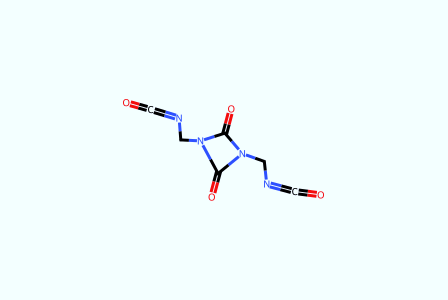 O=C=NCN1C(=O)N(CN=C=O)C1=O